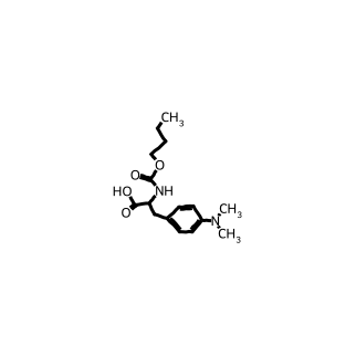 CCCCOC(=O)NC(Cc1ccc(N(C)C)cc1)C(=O)O